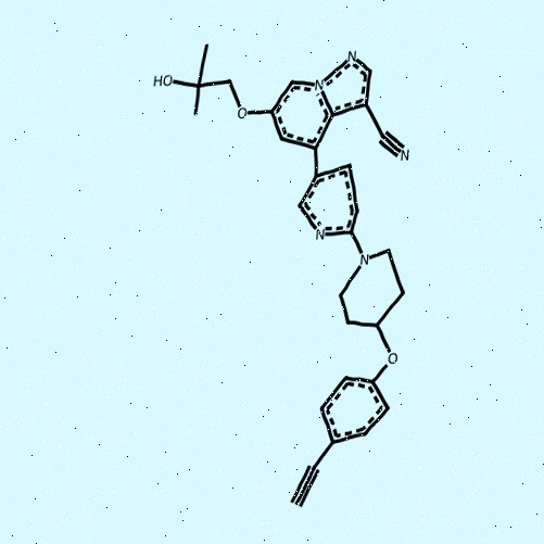 C#Cc1ccc(OC2CCN(c3ccc(-c4cc(OCC(C)(C)O)cn5ncc(C#N)c45)cn3)CC2)cc1